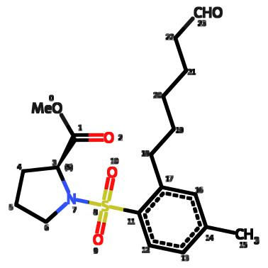 COC(=O)[C@@H]1CCCN1S(=O)(=O)c1ccc(C)cc1CCCCCC=O